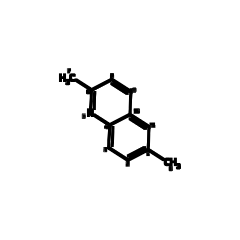 Cc1ccc2nc(C)c[c]c2c1